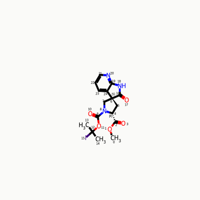 COC(=O)[C@H]1C[C@]2(CN1C(=O)OC(C)(C)I)C(=O)Nc1ncccc12